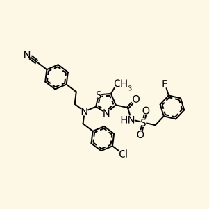 Cc1sc(N(CCc2ccc(C#N)cc2)Cc2ccc(Cl)cc2)nc1C(=O)NS(=O)(=O)Cc1cccc(F)c1